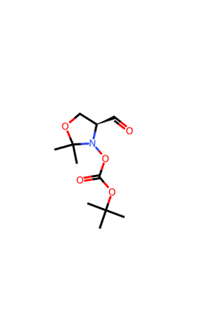 CC(C)(C)OC(=O)ON1[C@H](C=O)COC1(C)C